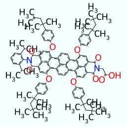 C=C(C)CC(C)(C)c1ccc(Oc2cc3c4c(cc(Oc5ccc(C(C)(C)CC(C)(C)C)cc5)c5c6ccc7c8c(Oc9ccc(C(C)(C)CC(C)(C)C)cc9)cc9c%10c(cc(Oc%11ccc(C(C)(C)CC(C)(C)C)cc%11)c(c%11ccc(c2c45)c6c%117)c%108)C(=O)N(CC(=O)O)C9=O)C(=O)N(c2c(C(C)C)cccc2C(C)C)C3=O)cc1